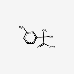 COC(=O)C(C)(O)c1cccc(C)c1